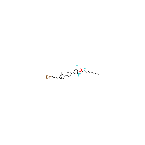 CCCCCCCC(F)COc1c(F)cc(-c2ccc(C3CC[SiH](CCCCBr)CC3)cc2)cc1F